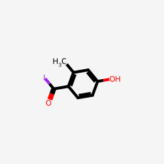 Cc1cc(O)ccc1C(=O)I